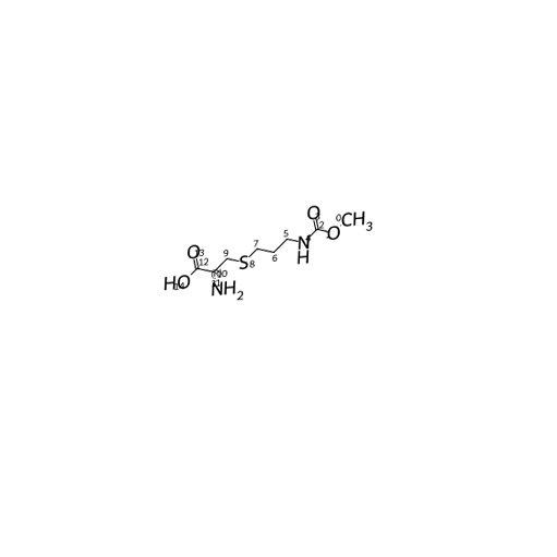 COC(=O)NCCCSC[C@H](N)C(=O)O